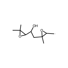 [CH2]C1OC1(C)CC(O)C1OC1(C)C